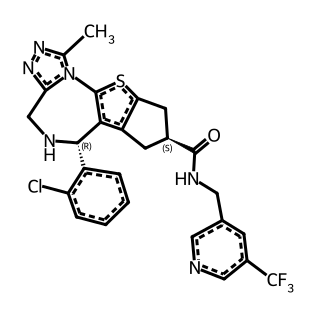 Cc1nnc2n1-c1sc3c(c1[C@H](c1ccccc1Cl)NC2)C[C@H](C(=O)NCc1cncc(C(F)(F)F)c1)C3